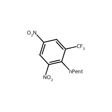 CCCCCc1c([N+](=O)[O-])[c]c([N+](=O)[O-])cc1C(F)(F)F